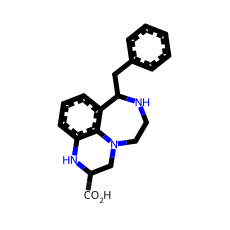 O=C(O)C1CN2CCNC(Cc3ccccc3)c3cccc(c32)N1